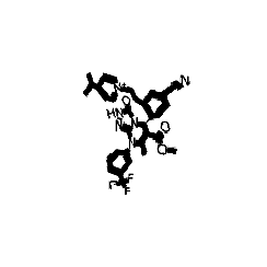 COC(=O)C1=C(C)N(c2cccc(C(F)(F)F)c2)c2n[nH]c(=O)n2[C@@H]1c1ccc(C#N)cc1CC[n+]1ccc(C(C)C)cc1